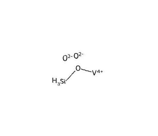 [O-2].[O-2].[SiH3][O][V+4]